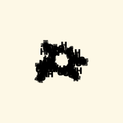 CCC[C@@H]1NC(=O)[C@@H](CC(C)C)NC(=O)[C@H](CCNC(=O)OC(C)(C)C)NC(=O)[C@@H](NC(=O)[C@H](CCNC(=O)OC(C)(C)C)NC(=O)[C@@H](N)C(C)O)CCNC(=O)[C@H](C(C)O)NC(=O)[C@H](CCNC(=O)OC(C)(C)C)NC(=O)[C@H](CCNC(=O)OC(C)(C)C)NC1=O